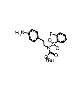 CC(C)(C)OC(=O)N(CCc1ccc(N)cc1)S(=O)(=O)c1ccccc1F